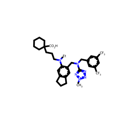 CCN(CCCC1(C(=O)O)CCCCC1)c1cc2c(cc1CN(Cc1cc(C(F)(F)F)cc(C(F)(F)F)c1)c1nnn(C)n1)CCC2